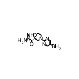 Bc1cnc(N2CCO[C@@H](C(=O)N(N)N)C2)nc1